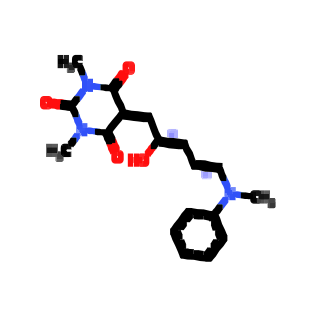 CN1C(=O)C(=C/C(O)=C/C=C/N(C)c2ccccc2)C(=O)N(C)C1=O